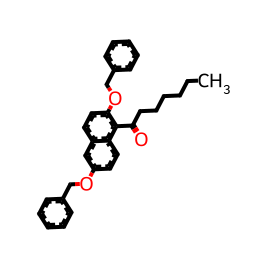 CCCCCCC(=O)c1c(OCc2ccccc2)ccc2cc(OCc3ccccc3)ccc12